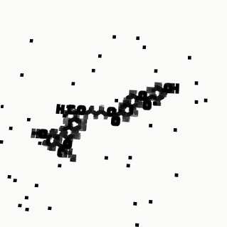 C=C(OCCCCCOC(=O)c1ccc2cc(OC(=O)c3ccc(O)cc3)ccc2c1)c1ccc2cc(OC(=C)c3ccc(O)cc3)ccc2c1